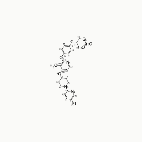 CCc1cnc(N2CCC(Oc3ncnc(Oc4ccc(C[C@H]5CO[S@](=O)OC5)cc4)c3C)CC2)nc1